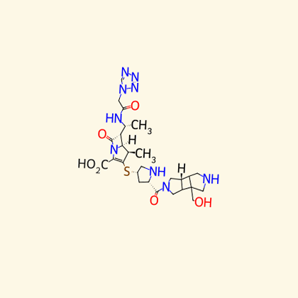 C[C@@H](NC(=O)Cn1cnnn1)[C@H]1C(=O)N2C(C(=O)O)=C(S[C@@H]3CN[C@H](C(=O)N4CC5[C@H](C4)C4CNCC45CO)C3)[C@H](C)[C@H]12